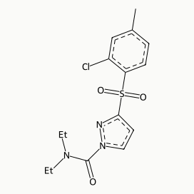 CCN(CC)C(=O)n1ccc(S(=O)(=O)c2ccc(C)cc2Cl)n1